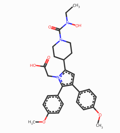 CCN(O)C(=O)N1CCC(c2cc(-c3ccc(OC)cc3)c(-c3ccc(OC)cc3)n2CC(=O)O)CC1